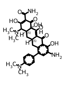 CN(C)c1ccc(-c2cc(N)c(O)c3c2C[C@@H]2C[C@H]4C(N(C)C)C(O)=C(C(N)=O)C(=O)[C@@]4(O)C(O)=C2C3=O)cc1